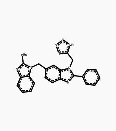 CCCCc1nc2ccccc2n1Cc1ccc2nc(-c3ccccc3)n(Cc3nnn[nH]3)c2c1